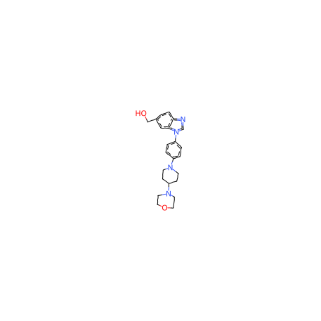 OCc1ccc2ncn(-c3ccc(N4CCC(N5CCOCC5)CC4)cc3)c2c1